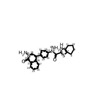 NN(C(=O)C1NC2=C(CCCC2)S1)c1ccc(-c2cn(N)c(=O)c3ccccc23)cc1